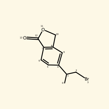 CC(CBr)c1ccc2c(c1)COC2=O